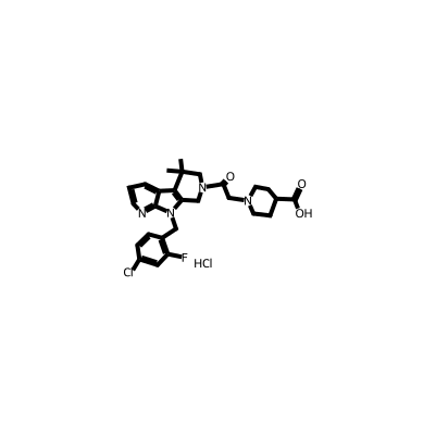 CC1(C)CN(C(=O)CN2CCC(C(=O)O)CC2)Cc2c1c1cccnc1n2Cc1ccc(Cl)cc1F.Cl